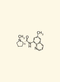 Cc1cc(NC(=O)[C@@H]2CCCN2C)c2ncccc2c1